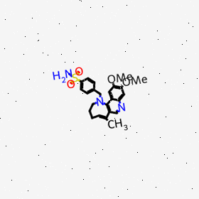 COc1cc2ncc3c(c2cc1OC)N(Cc1ccc(S(N)(=O)=O)cc1)CCC/C=C/3C